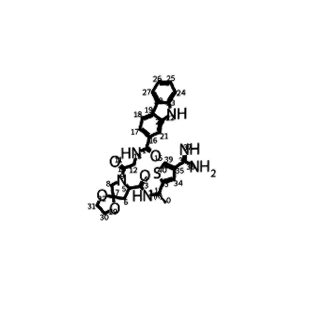 C[C@@H](NC(=O)C1CC2(CN1C(=O)CNC(=O)c1ccc3c(c1)[nH]c1ccccc13)OCCO2)c1cc(C(=N)N)cs1